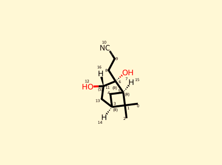 CC1(C)[C@@H]2C[C@H]1[C@](O)(CCC#N)[C@@H](O)C2